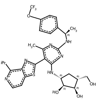 Cc1nc(N[C@H](C)c2ccc(OC(F)(F)F)cc2)nc(N[C@@H]2C[C@H](CO)[C@@H](O)[C@H]2O)c1-c1nc2c(C(C)C)nccc2s1